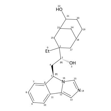 CCC1([C@H](O)C[C@@H]2c3ccccc3-c3cncn32)CC2CCC(O)C(C2)C1